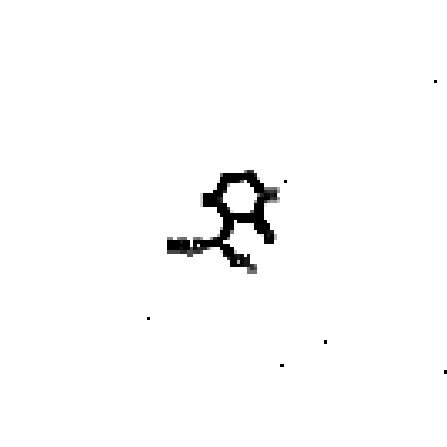 CC(C(=O)O)C1NCCNC1=O